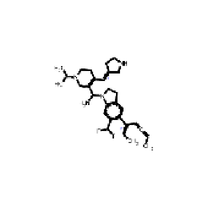 CC=C=C/C(=C\C)c1cc2c(cc1C(F)F)N(C(N)C1=C(/C=C3\CCNC3)CCN(C(C)O)C1)CC2